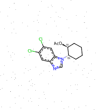 CC(=O)O[C@H]1CCCC[C@@H]1n1cnc2cc(Cl)c(Cl)cc21